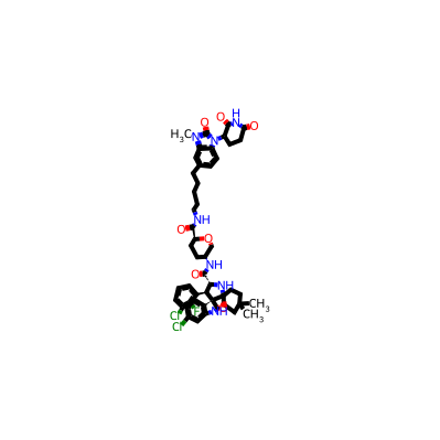 Cn1c(=O)n(C2CCC(=O)NC2=O)c2ccc(CCCCCNC(=O)[C@@H]3CC[C@@H](NC(=O)[C@@H]4NC5(CCC(C)(C)CC5)[C@@]5(C(=O)Nc6cc(Cl)ccc65)[C@H]4c4cccc(Cl)c4F)CO3)cc21